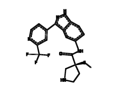 CS[C@@]1(C(=O)Nc2ccc3[nH]nc(-c4ccnc(C(F)(F)F)c4)c3c2)CCNC1